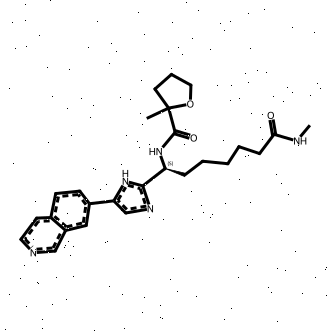 CNC(=O)CCCCC[C@H](NC(=O)C1(C)CCCO1)c1ncc(-c2ccc3ccncc3c2)[nH]1